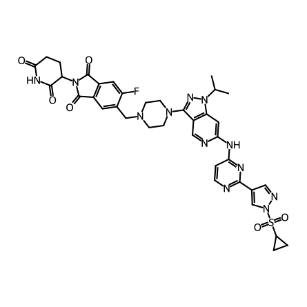 CC(C)n1nc(N2CCN(Cc3cc4c(cc3F)C(=O)N(C3CCC(=O)NC3=O)C4=O)CC2)c2cnc(Nc3ccnc(-c4cnn(S(=O)(=O)C5CC5)c4)n3)cc21